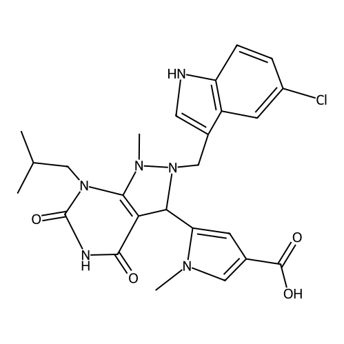 CC(C)Cn1c2c(c(=O)[nH]c1=O)C(c1cc(C(=O)O)cn1C)N(Cc1c[nH]c3ccc(Cl)cc13)N2C